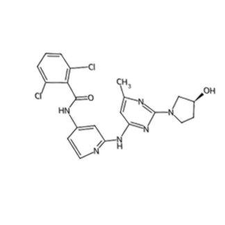 Cc1cc(Nc2cc(NC(=O)c3c(Cl)cccc3Cl)ccn2)nc(N2CC[C@H](O)C2)n1